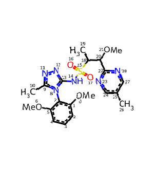 COc1cccc(OC)c1-n1c(C)nnc1NS(=O)(=O)C(C)C(OC)c1ncc(C)cn1